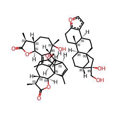 CC1=C[C@@H]2[C@H]3[C@H](C(C)=C4[C@H]5OC(=O)[C@@H](C)[C@@H]5CC[C@](C)(O)[C@@H]43)[C@@]13[C@@H]2[C@@](C)(O)CC[C@H]1[C@H](C)C(=O)O[C@@H]13.C[C@@]12CCc3occc3[C@H]1CC[C@@]13C[C@@H](CC[C@H]12)[C@@](O)(CO)C3